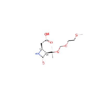 COCCOCOC(C)(C)[C@H]1C(=O)N[C@H]1CC(=O)O